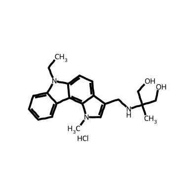 CCn1c2ccccc2c2c3c(ccc21)c(CNC(C)(CO)CO)cn3C.Cl